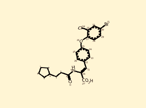 O=C(CCC1CCCC1)NC(=Cc1ccc(Oc2ccc(Br)cc2Cl)cc1)C(=O)O